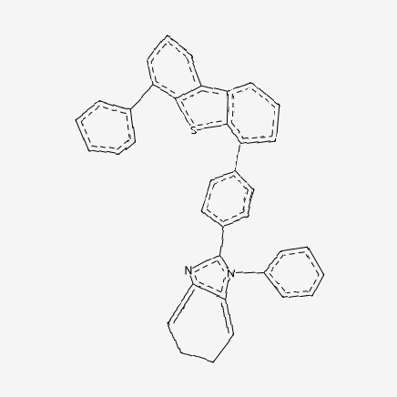 C1=c2nc(-c3ccc(-c4cccc5c4sc4c(-c6ccccc6)cccc45)cc3)n(-c3ccccc3)c2=CCC1